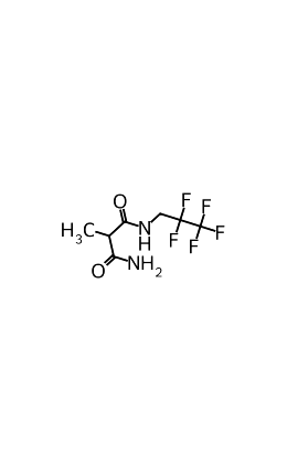 CC(C(N)=O)C(=O)NCC(F)(F)C(F)(F)F